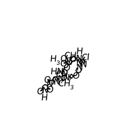 CNC(=O)COc1cc2cc(Nc3nc(N4CCC(OC5CC(N6CCN(c7ccc8c(n7)CN(C7CCC(=O)NC7=O)C8=O)[C@H](C)C6)C5)CC4)ncc3Cl)ccc2n(C(C)C)c1=O